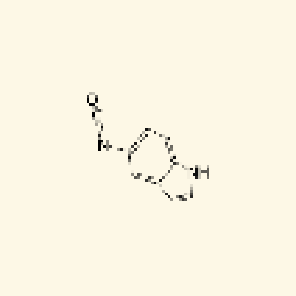 O=C=Nc1ccc2[nH]ccc2c1